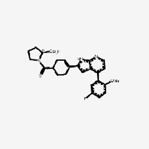 COc1ccc(F)cc1-c1ccnc2[nH]c(C3=CCC(C(=O)N4CCC[C@H]4C(=O)O)CC3)cc12